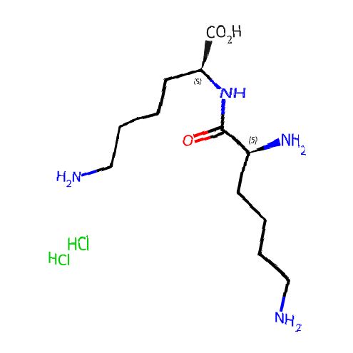 Cl.Cl.NCCCC[C@H](NC(=O)[C@@H](N)CCCCN)C(=O)O